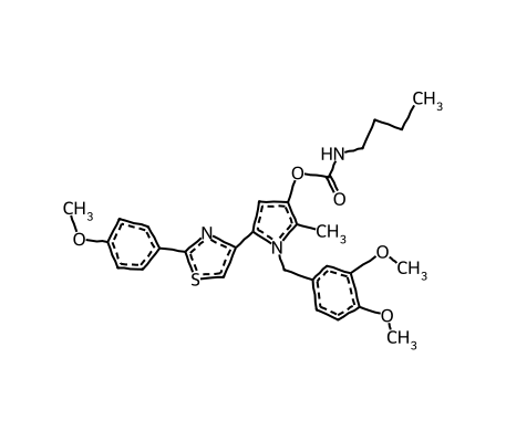 CCCCNC(=O)Oc1cc(-c2csc(-c3ccc(OC)cc3)n2)n(Cc2ccc(OC)c(OC)c2)c1C